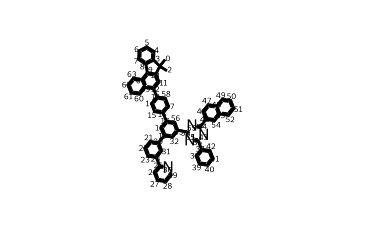 CC1(C)c2ccccc2-c2c1cc(-c1ccc(-c3cc(-c4cccc(-c5ccccn5)c4)cc(-c4nc(-c5ccccc5)nc(-c5ccc6ccccc6c5)n4)c3)cc1)c1ccccc21